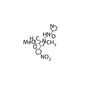 COC(=O)C1=C(C)N(CCNC(=O)c2cccnc2)C(C)=CC1c1cccc([N+](=O)[O-])c1